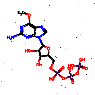 COc1nc(N)nc2c1ncn2C1OC(COP(=O)(O)OP(=O)(O)OP(=O)(O)O)C(O)C1O